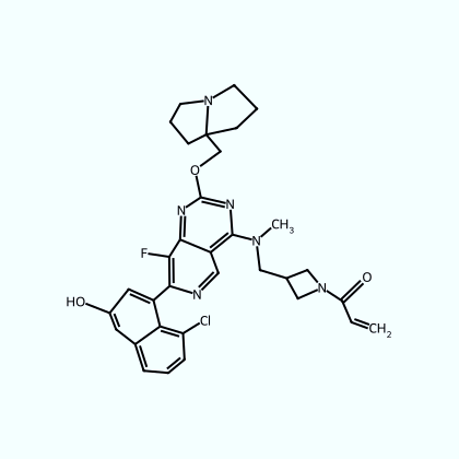 C=CC(=O)N1CC(CN(C)c2nc(OCC34CCCN3CCC4)nc3c(F)c(-c4cc(O)cc5cccc(Cl)c45)ncc23)C1